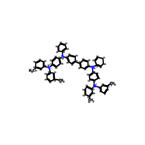 Cc1cccc(N(c2ccc(N(C3=CCCC=C3)c3ccc(-c4ccc(N(c5ccccc5)c5ccc(N(c6cccc(C)c6)c6cccc(C)c6)cc5)cc4)cc3)cc2)c2cccc(C)c2)c1